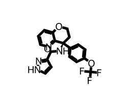 O=C(N[C@]1(c2ccc(OC(F)(F)F)cc2)CCOc2cccnc21)c1cc[nH]n1